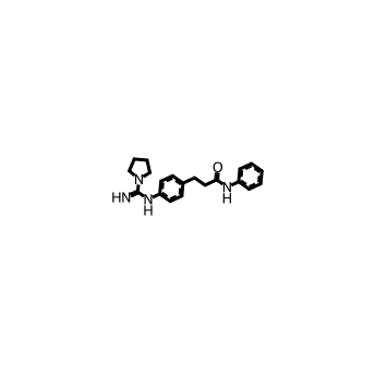 N=C(Nc1ccc(CCC(=O)Nc2ccccc2)cc1)N1CCCC1